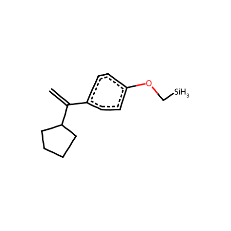 C=C(c1ccc(OC[SiH3])cc1)C1CCCC1